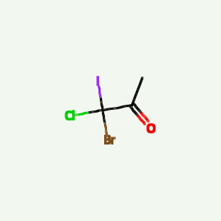 CC(=O)C(Cl)(Br)I